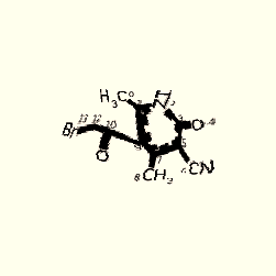 Cc1[nH]c(=O)c(C#N)c(C)c1C(=O)CBr